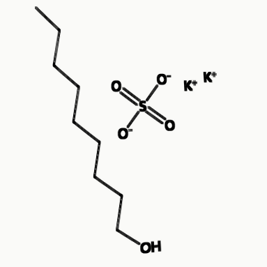 CCCCCCCCCO.O=S(=O)([O-])[O-].[K+].[K+]